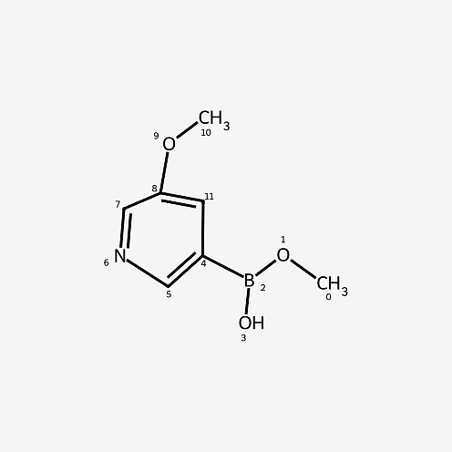 COB(O)c1cncc(OC)c1